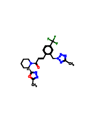 Cc1nnn(Cc2cc(C(F)(F)F)ccc2C=CC(=O)N2CCCC[C@H]2c2nnc(C)o2)n1